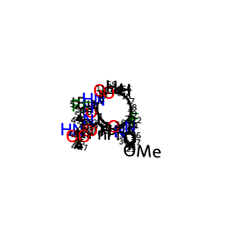 CCC[C@@H]1[C@@H]2CC(C(=O)[C@H](C(C)(C)C)NC(=O)O[C@@H]3C[C@H]3CCCCC(F)(F)c3nc4ccc(OC)cc4nc3O2)[C@@H]1C(=O)N[C@]1(C(=O)NS(=O)(=O)C2CC2)C[C@H]1C(F)F